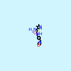 Cc1nnc2sc(C(=O)NCc3ccc(CN4CCOCC4)cc3)c(N)c2c1C